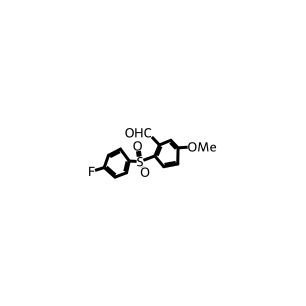 COc1ccc(S(=O)(=O)c2ccc(F)cc2)c(C=O)c1